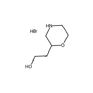 Br.OCCC1CNCCO1